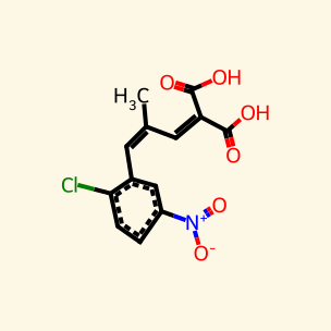 CC(=Cc1cc([N+](=O)[O-])ccc1Cl)C=C(C(=O)O)C(=O)O